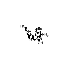 CCCCOc1nc(N)c2nc(O)n(Cc3cnc(CNCCO)cn3)c2n1